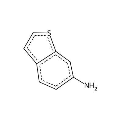 Nc1ccc2ccsc2c1